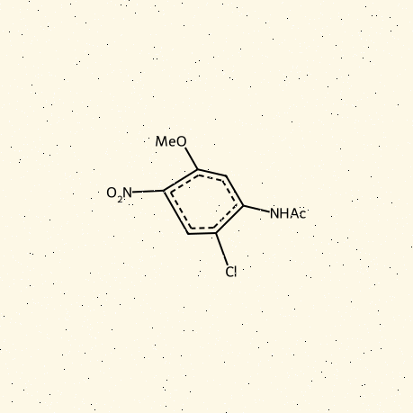 COc1cc(NC(C)=O)c(Cl)cc1[N+](=O)[O-]